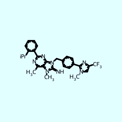 Cc1nc(-c2ccccc2C(C)C)nc2c1n(C)c(=N)n2Cc1ccc(-c2nc(C(F)(F)F)cn2C)cc1